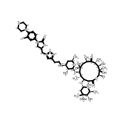 CC[C@H]1OC(=O)[C@H](C)[C@@H](O[C@H]2C[C@@](C)(OC)[C@@H](O)[C@H](C)O2)[C@H](C)[C@@H](O[C@@H]2O[C@H](C)C[C@H](NCCc3cn(CC4CN(c5ccc(N6CCOCC6)c(F)c5)C(=O)O4)nn3)[C@H]2O)[C@](C)(O)C[C@@H](C)C(=O)[C@H](C)[C@@H](O)[C@]1(C)O